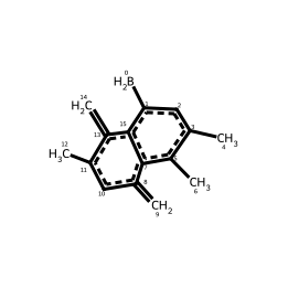 Bc1cc(C)c(C)c2c(=C)cc(C)c(=C)c12